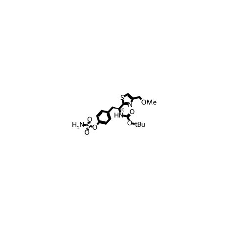 COCc1csc([C@H](Cc2ccc(OS(N)(=O)=O)cc2)NC(=O)OC(C)(C)C)n1